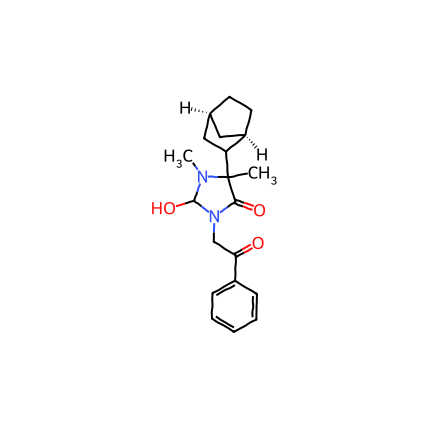 CN1C(O)N(CC(=O)c2ccccc2)C(=O)C1(C)C1C[C@H]2CC[C@@H]1C2